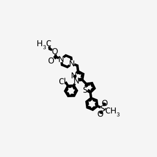 CCOC(=O)N1CCN(Cc2cc(-c3ccc(-c4cccc(S(C)(=O)=O)c4)s3)n(-c3ccccc3Cl)n2)CC1